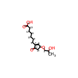 CC(O)COC1C=C(CCCCCCC(=O)O)C(=O)C1